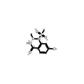 CON(c1cc(Cl)ccc1C(=O)O)S(C)(=O)=O